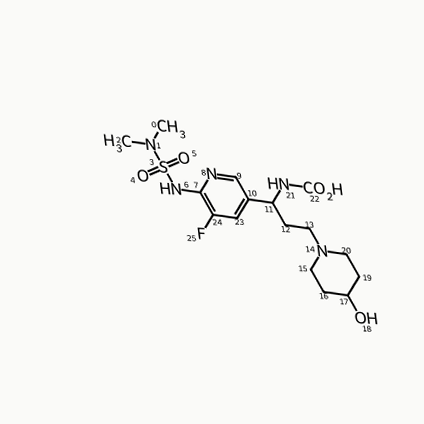 CN(C)S(=O)(=O)Nc1ncc(C(CCN2CCC(O)CC2)NC(=O)O)cc1F